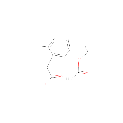 CCOC(C)=O.Cc1ccccc1CC(=O)O